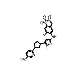 CC(C)(C)c1ccc(C2CCC(c3cc(Nc4cc5c(cc4F)S(=O)(=O)NC5)n[nH]3)C2)nc1